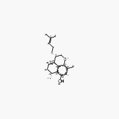 CC(C)=CCC[C@@H]1COc2c(C)cc(O)c3c2[C@H]1CC[C@H]3C